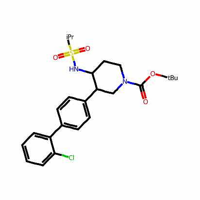 CC(C)S(=O)(=O)NC1CCN(C(=O)OC(C)(C)C)CC1c1ccc(-c2ccccc2Cl)cc1